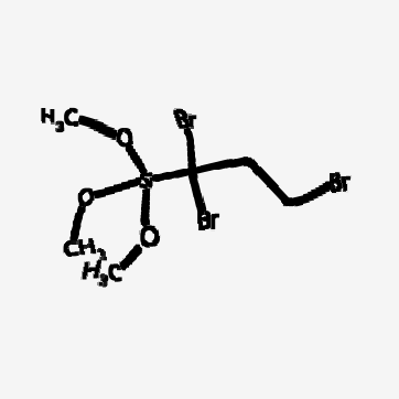 CO[Si](OC)(OC)C(Br)(Br)CCBr